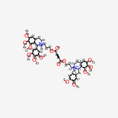 COc1ccc(CC2c3c(cc(OC)c(OC)c3OC)CC[N+]2(C)CCCOC(=O)C#CC(=O)OCCC[N+]2(C)CCc3cc(OC)c(OC)c(OC)c3C2c2cc(OC)c(OC)c(OC)c2)cc1OC